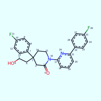 O=C1CC(CCO)(c2ccc(F)cc2)CCN1c1cccc(-c2ccc(F)cc2)n1